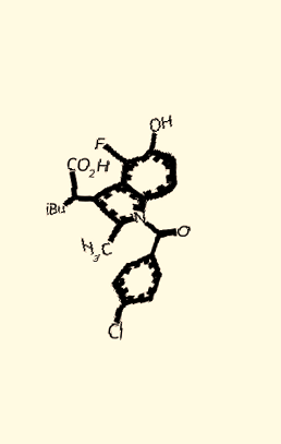 CCC(C)C(C(=O)O)c1c(C)n(C(=O)c2ccc(Cl)cc2)c2ccc(O)c(F)c12